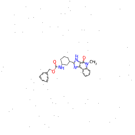 Cn1c(=O)c2[nH]c(C3CCCC(NC(=O)OCc4ccccc4)C3)nc2c2ccccc21